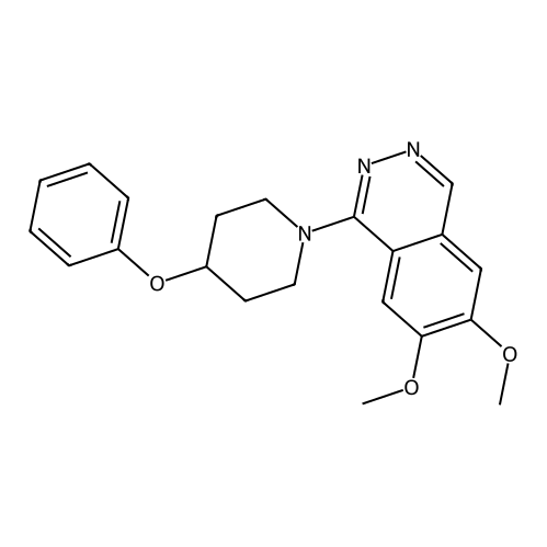 COc1cc2cnnc(N3CCC(Oc4ccccc4)CC3)c2cc1OC